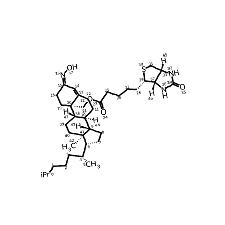 CC(C)CCC[C@@H](C)[C@H]1CC[C@H]2[C@@H]3CCC4=CC(=NO)CC[C@]4(COC(=O)CCCC[C@@H]4SC[C@@H]5NC(=O)N[C@@H]54)[C@H]3CC[C@]12C